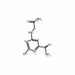 NC(=O)CNc1cc(C(N)=O)nc(Cl)n1